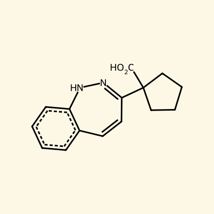 O=C(O)C1(C2=NNc3ccccc3C=C2)CCCC1